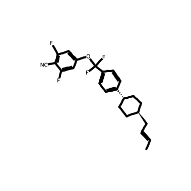 CC=CC[C@H]1CC[C@H](c2ccc(C(F)(F)Oc3cc(F)c(C#N)c(F)c3)cc2)CC1